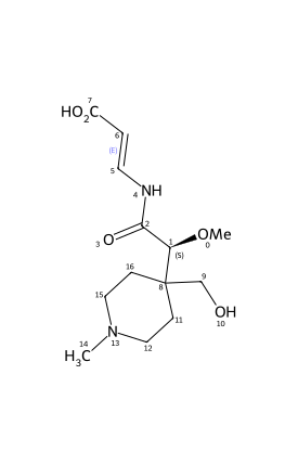 CO[C@H](C(=O)N/C=C/C(=O)O)C1(CO)CCN(C)CC1